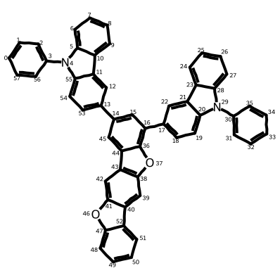 c1ccc(-n2c3ccccc3c3cc(-c4cc(-c5ccc6c(c5)c5ccccc5n6-c5ccccc5)c5oc6cc7c(cc6c5c4)oc4ccccc47)ccc32)cc1